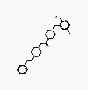 COc1ccc(F)cc1CN1CCN(C(=O)CN2CCN(CCc3ccccc3)CC2)CC1